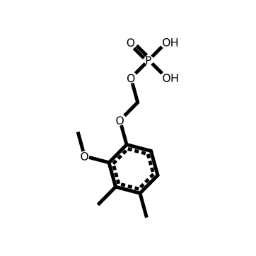 COc1c(OCOP(=O)(O)O)ccc(C)c1C